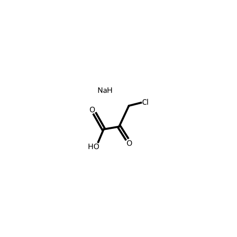 O=C(O)C(=O)CCl.[NaH]